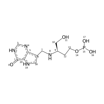 O=c1[nH]cnc2c(CN[C@@H](CO)CCOP(O)O)c[nH]c12